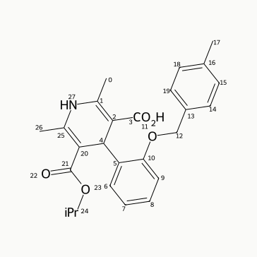 CC1=C(C(=O)O)C(c2ccccc2OCc2ccc(C)cc2)C(C(=O)OC(C)C)=C(C)N1